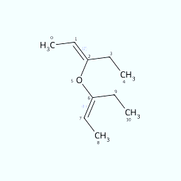 C/C=C(/CC)O/C(=C/C)CC